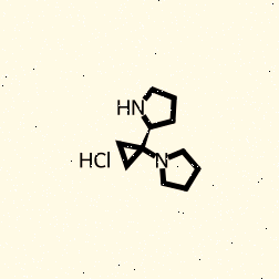 C1CN[C@H](C2(N3CCCC3)CC2)C1.Cl